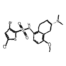 COc1ccc(NS(=O)(=O)c2sc(Cl)cc2Br)c2c1C[C@@H](N(C)C)CC2